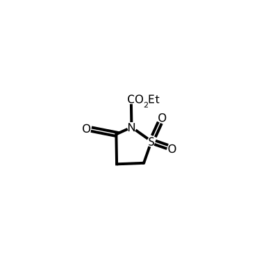 CCOC(=O)N1C(=O)CCS1(=O)=O